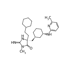 Cc1cccc(N[C@@H]2CCC[C@H](C[C@@]3(CCC4CCCCC4)NC(=N)N(C)C3=O)C2)n1